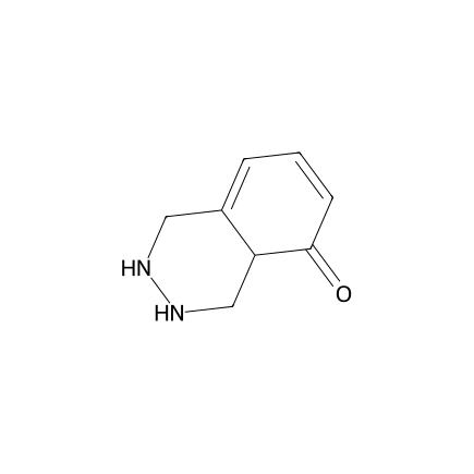 O=C1C=CC=C2CNNCC12